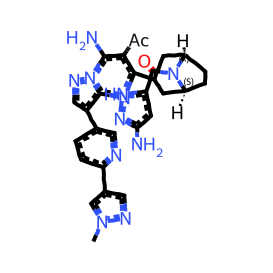 CC(=O)c1c(C2C[C@H]3CC[C@@H](C2)N3C(=O)c2cc(N)n[nH]2)nc2c(-c3ccc(-c4cnn(C)c4)nc3)cnn2c1N